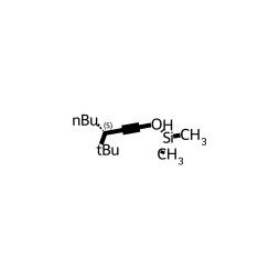 CCCC[C@H](C#CO[SiH](C)C)C(C)(C)C